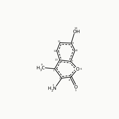 Cc1c(N)c(=O)oc2cc(O)ccc12